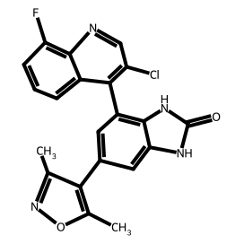 Cc1noc(C)c1-c1cc(-c2c(Cl)cnc3c(F)cccc23)c2[nH]c(=O)[nH]c2c1